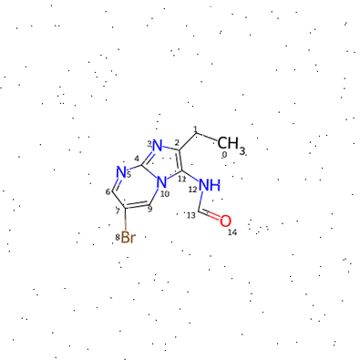 CCc1nc2ncc(Br)cn2c1NC=O